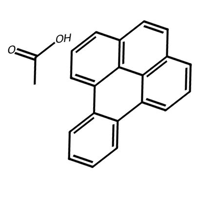 CC(=O)O.c1ccc2c(c1)c1cccc3ccc4cccc2c4c31